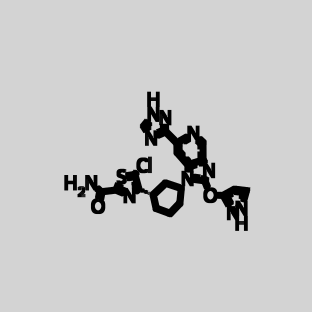 NC(=O)c1nc([C@H]2CCC[C@@H](n3c(Oc4cc[nH]n4)nc4cnc(-c5nc[nH]n5)cc43)C2)c(Cl)s1